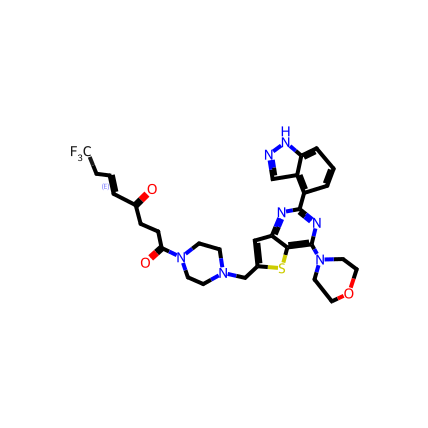 O=C(/C=C/CC(F)(F)F)CCC(=O)N1CCN(Cc2cc3nc(-c4cccc5[nH]ncc45)nc(N4CCOCC4)c3s2)CC1